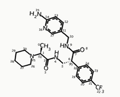 C[C@@H](C(=O)NC[C@H](C(=O)NCc1ccc(N)nc1)c1ccc(C(F)(F)F)cc1)N1CCCCC1